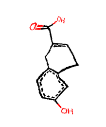 O=C(O)C1=CCc2cc(O)ccc2C1